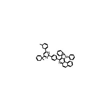 CC1C=CC=C(c2cc(C3(C)C=CC=CC3)nc(-c3ccc(-c4nc5ccc6ccccc6c5c5c4C46C=CC=CC4C6N5c4ccccc4)cc3)n2)C1